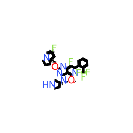 COc1nc(-c2ccccc2C(F)(F)F)c(F)c2nc(OC[C@@]34CCCN3C[C@H](F)C4)nc(N(C)[C@@H]3CCNC3)c12